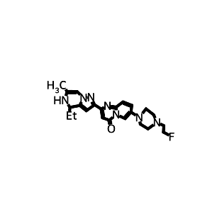 CCC1NC(C)=Cn2nc(-c3cc(=O)n4cc(N5CCN(CCF)CC5)ccc4n3)cc21